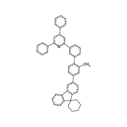 Cc1cc(-c2ccc3c(c2)-c2ccccc2C32CCCCC2)ccc1-c1cccc(-c2cc(-c3ccccc3)cc(-c3ccccc3)n2)c1